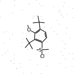 COc1c(C(C)(C)C)ccc([Si](C)(C)Cl)c1C(C)(C)C